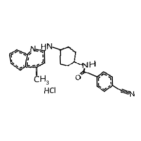 Cc1cc(NC2CCC(NC(=O)c3ccc(C#N)cc3)CC2)nc2ccccc12.Cl